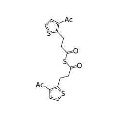 CC(=O)c1ccsc1CCC(=O)SC(=O)CCc1sccc1C(C)=O